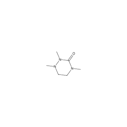 CN1CCN(C)N(C)C1=O